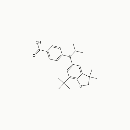 CC(C)N(c1ccc(C(=O)O)cc1)c1cc(C(C)(C)C)c2c(c1)C(C)(C)CO2